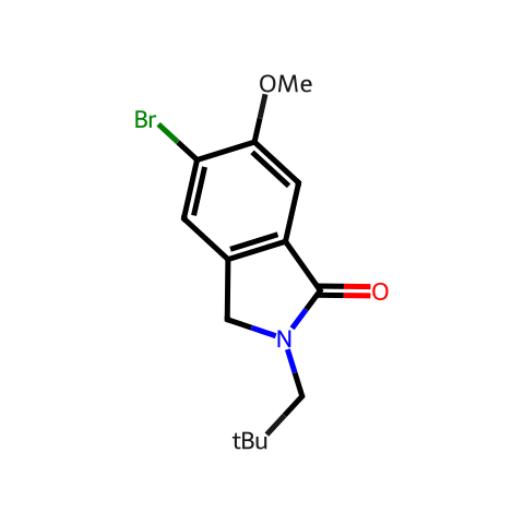 COc1cc2c(cc1Br)CN(CC(C)(C)C)C2=O